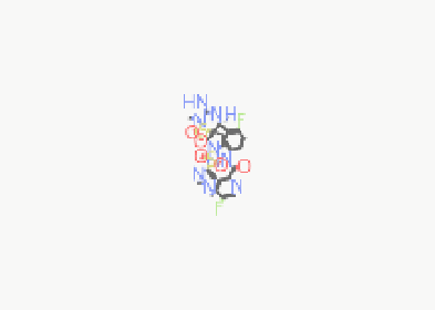 CN1C(=N)N[C@@](C)(c2cc(NC(=O)c3ccc(F)cn3)ccc2F)[C@@]2(CCN(S(=O)(=O)c3cn(C)cn3)C2)S1(=O)=O